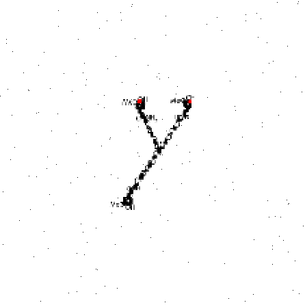 COc1cc(CCC(=O)NCCOCCOCCOCCOCCOCC(COCCOCCOCCOCCNC(=O)CCc2ccc(O)c(OC)c2)OCCOCCOCCOCC(N)C(=O)CCc2ccc(O)c(OC)c2)ccc1O